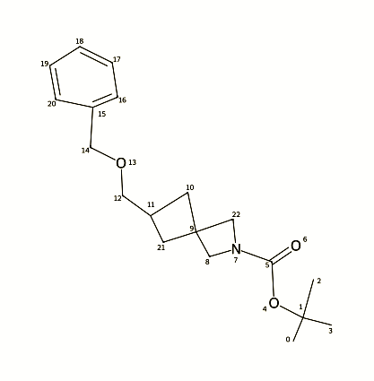 CC(C)(C)OC(=O)N1CC2(CC(COCc3ccccc3)C2)C1